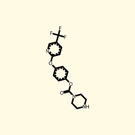 O=C(Oc1ccc(Oc2ccc(C(F)(F)F)cn2)cc1)N1CCNCC1